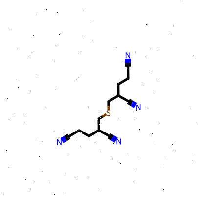 N#CCCC(C#N)CSCC(C#N)CCC#N